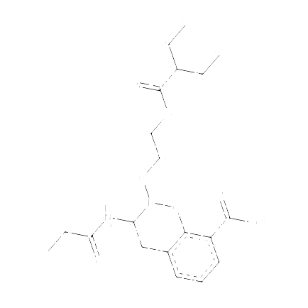 CCC(=O)NC1Cc2cccc(C(=O)O)c2OB1OCCOC(=O)C(CC)CC